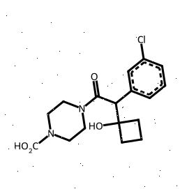 O=C(O)N1CCN(C(=O)C(c2cccc(Cl)c2)C2(O)CCC2)CC1